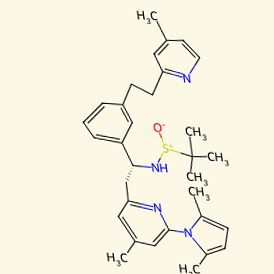 Cc1ccnc(CCc2cccc([C@@H](Cc3cc(C)cc(-n4c(C)ccc4C)n3)N[S+]([O-])C(C)(C)C)c2)c1